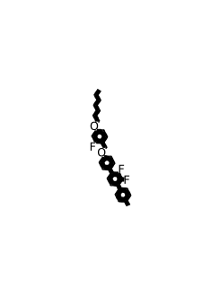 CCCCCCCOc1ccc(COc2ccc(-c3ccc(-c4ccc(C)cc4)c(F)c3F)cc2)c(F)c1